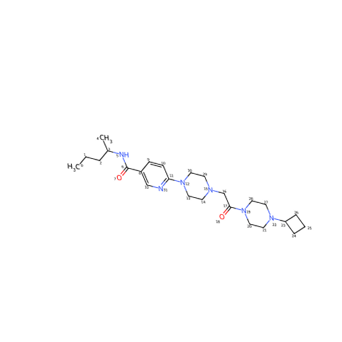 CCCC(C)NC(=O)c1ccc(N2CCN(CC(=O)N3CCN(C4CCC4)CC3)CC2)nc1